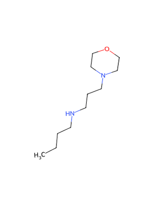 CCCCNCCCN1CCOCC1